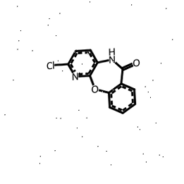 O=C1Nc2ccc(Cl)nc2Oc2ccccc21